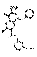 COc1cccc(CN(C)c2cc3c(cc2F)c(=O)c(C(=O)O)cn3Cc2ccccc2)c1